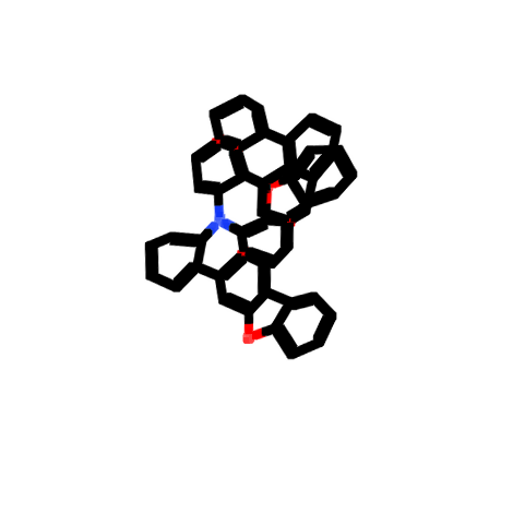 c1ccc(-c2cccc3cccc(-c4ccccc4N(c4ccccc4-c4ccc5c(c4)oc4ccccc45)c4cccc5c4oc4ccccc45)c23)cc1